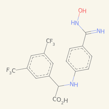 N=C(NO)c1ccc(NC(C(=O)O)c2cc(C(F)(F)F)cc(C(F)(F)F)c2)cc1